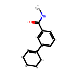 CC(C)(C)NC(=O)c1cccc(C2=CCCCC2)c1